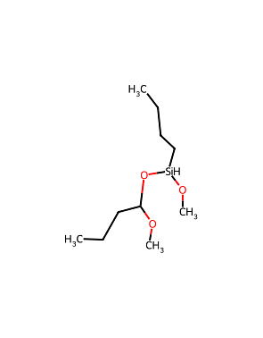 CCCC[SiH](OC)OC(CCC)OC